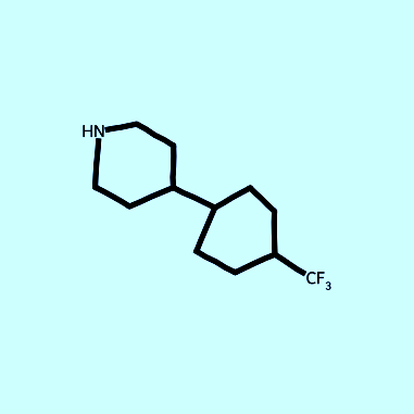 FC(F)(F)C1CCC(C2CCNCC2)CC1